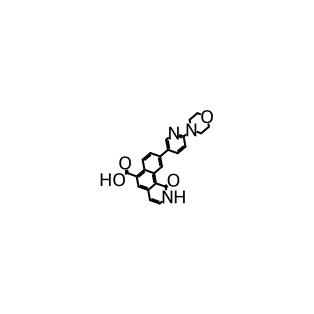 O=C(O)c1cc2cc[nH]c(=O)c2c2cc(-c3ccc(N4CCOCC4)nc3)ccc12